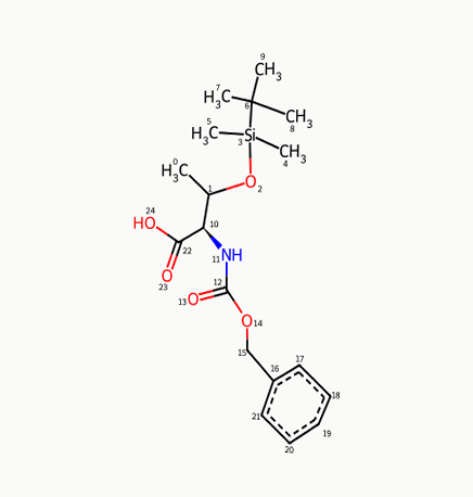 CC(O[Si](C)(C)C(C)(C)C)[C@@H](NC(=O)OCc1ccccc1)C(=O)O